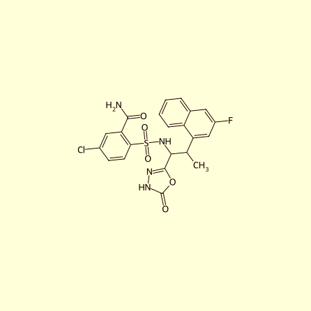 CC(c1cc(F)cc2ccccc12)C(NS(=O)(=O)c1ccc(Cl)cc1C(N)=O)c1n[nH]c(=O)o1